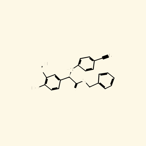 COc1cc([C@@H](Nc2ccc(C#N)cc2)C(=O)NCc2ccccc2)ccc1O